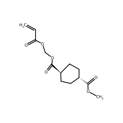 C=CC(=O)OCOC(=O)[C@H]1CC[C@H](C(=O)OC)CC1